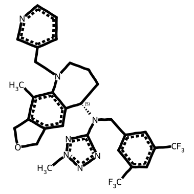 Cc1c2c(cc3c1N(Cc1cccnc1)CCC[C@@H]3N(Cc1cc(C(F)(F)F)cc(C(F)(F)F)c1)c1nnn(C)n1)COC2